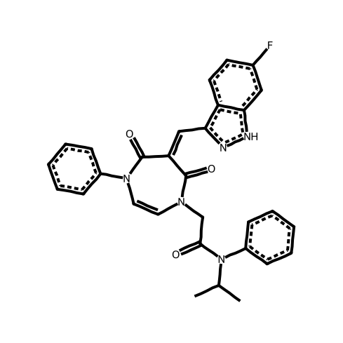 CC(C)N(C(=O)CN1C=CN(c2ccccc2)C(=O)/C(=C/c2n[nH]c3cc(F)ccc23)C1=O)c1ccccc1